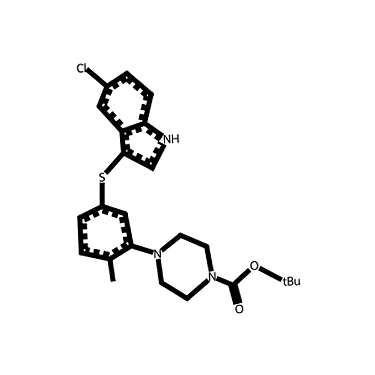 Cc1ccc(Sc2c[nH]c3ccc(Cl)cc23)cc1N1CCN(C(=O)OC(C)(C)C)CC1